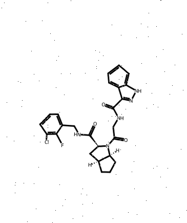 O=C(NCC(=O)N1[C@H](C(=O)NCc2cccc(Cl)c2F)C[C@@H]2CCC[C@@H]21)c1n[nH]c2ccccc12